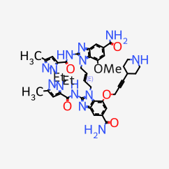 CCn1nc(C)cc1C(=O)Nc1nc2cc(C(N)=O)cc(OC)c2n1C/C=C/Cn1c(NC(=O)c2cc(C)nn2CC)nc2cc(C(N)=O)cc(OCC#CC3CCNCC3)c21